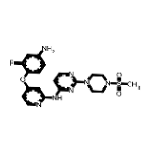 CS(=O)(=O)N1CCN(c2nccc(Nc3cc(Oc4ccc(N)cc4F)ccn3)n2)CC1